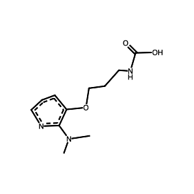 CN(C)c1ncccc1OCCCNC(=O)O